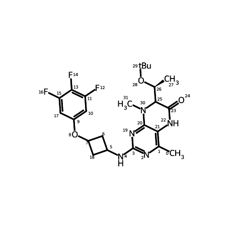 Cc1nc(NC2CC(Oc3cc(F)c(F)c(F)c3)C2)nc2c1NC(=O)C([C@H](C)OC(C)(C)C)N2C